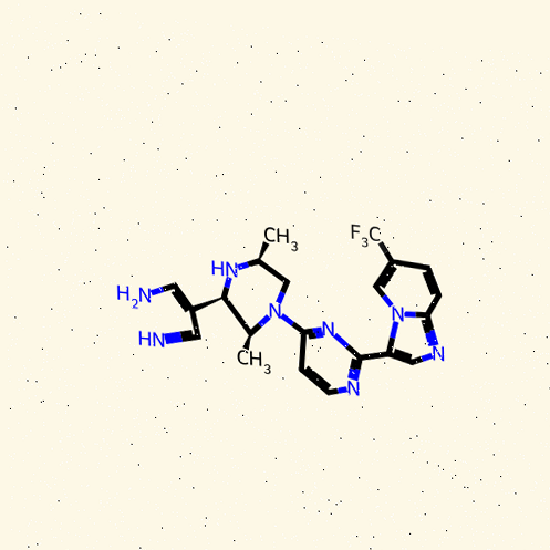 C[C@H]1CN(c2ccnc(-c3cnc4ccc(C(F)(F)F)cn34)n2)[C@@H](C)[C@@H](/C(C=N)=C/N)N1